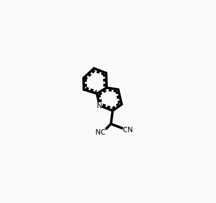 N#CC(C#N)c1ccc2ccccc2n1